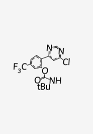 CC(C)(C)NC(=O)Oc1cc(C(F)(F)F)ccc1-c1cc(Cl)ncn1